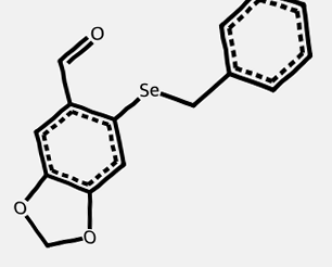 O=Cc1cc2c(cc1[Se]Cc1ccccc1)OCO2